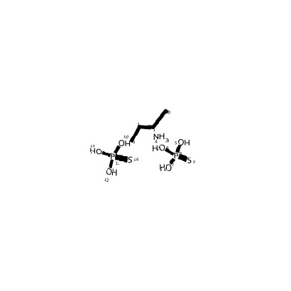 CCCC.N.OP(O)(O)=S.OP(O)(O)=S